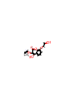 C/C=C\Oc1c(O)c2cccc(OCCO)c2oc1=O